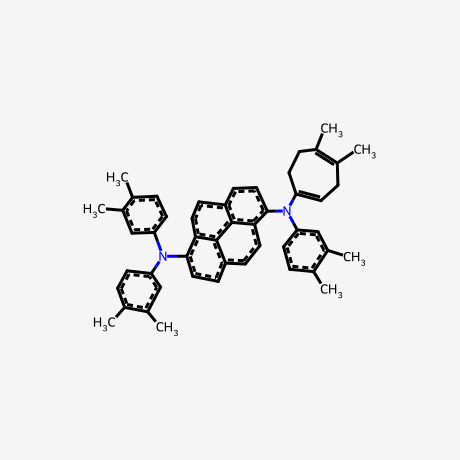 CC1=C(C)CCC(N(c2ccc(C)c(C)c2)c2ccc3ccc4c(N(c5ccc(C)c(C)c5)c5ccc(C)c(C)c5)ccc5ccc2c3c54)=CC1